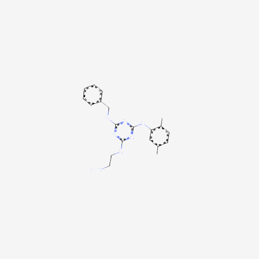 NCCNc1nc(NCc2ccccc2)nc(Nc2cc(S(=O)(=O)O)ccc2S(=O)(=O)O)n1